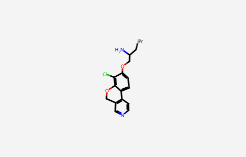 CC(C)CC(N)COc1ccc2c(c1Cl)OCc1cnc[c]c1-2